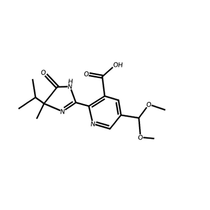 COC(OC)c1cnc(C2=NC(C)(C(C)C)C(=O)N2)c(C(=O)O)c1